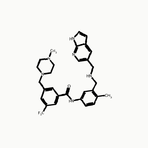 Cc1ccc(NC(=O)c2cc(CN3CCN(C)CC3)cc(C(F)(F)F)c2)cc1CNCc1cnc2[nH]ccc2c1